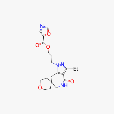 CCc1nn(CCCOC(=O)c2cnco2)c2c1C(=O)NCC1(CCOCC1)C2